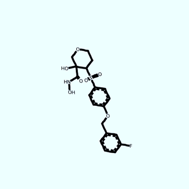 O=C(NO)C1(O)COCCC1S(=O)(=O)c1ccc(OCc2cccc(F)c2)cc1